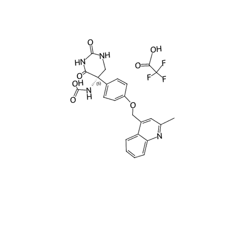 Cc1cc(COc2ccc([C@]3(NC(=O)O)CNC(=O)NC3=O)cc2)c2ccccc2n1.O=C(O)C(F)(F)F